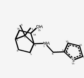 CC1(C)C2CCC1(NCc1cccs1)C(O)C2